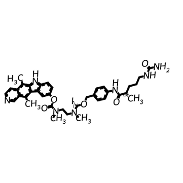 Cc1c2ccncc2c(C)c2c1[nH]c1ccc(OC(=O)N(C)CCN(C)[C@H](I)OCc3ccc(NC(=O)[C@@H](C)CCCNC(N)=O)cc3)cc12